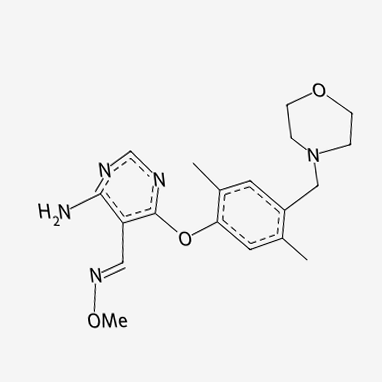 CON=Cc1c(N)ncnc1Oc1cc(C)c(CN2CCOCC2)cc1C